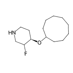 FC1CNCC[C@H]1OC1CCCCCCCC1